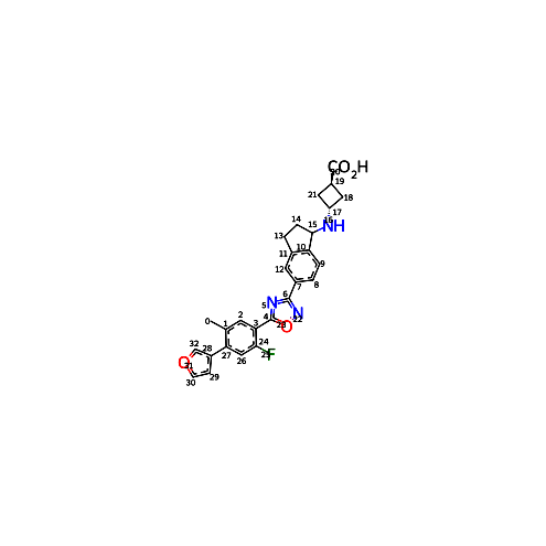 Cc1cc(-c2nc(-c3ccc4c(c3)CCC4N[C@H]3C[C@H](C(=O)O)C3)no2)c(F)cc1-c1ccoc1